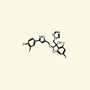 C[C@@H](OCc1cc(-c2ccc(F)c(F)c2)no1)C(O)(Cn1cncn1)c1ccc(F)cc1F